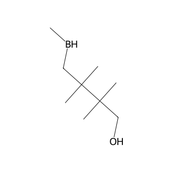 CBCC(C)(C)C(C)(C)CO